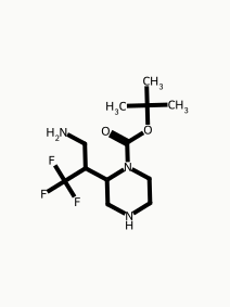 CC(C)(C)OC(=O)N1CCNCC1C(CN)C(F)(F)F